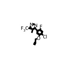 C#CCOc1cc(-c2ncnc(C(F)(F)F)c2C)c(F)cc1Cl